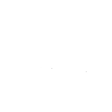 Cc1cccc(C(=O)N(NC(=O)c2ccncc2)C(C)(C)C)c1C